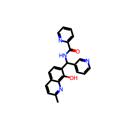 Cc1ccc2ccc(C(NC(=O)c3ccccn3)c3cccnc3)c(O)c2n1